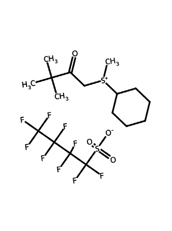 C[S+](CC(=O)C(C)(C)C)C1CCCCC1.O=S(=O)([O-])C(F)(F)C(F)(F)C(F)(F)C(F)(F)F